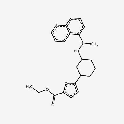 CCOC(=O)c1ccc(C2CCCC(N[C@H](C)c3cccc4ccccc34)C2)o1